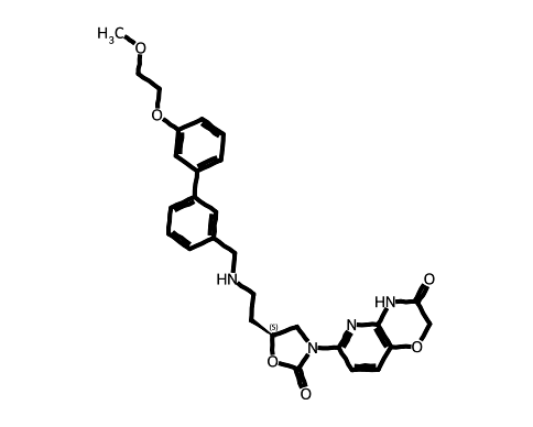 COCCOc1cccc(-c2cccc(CNCC[C@H]3CN(c4ccc5c(n4)NC(=O)CO5)C(=O)O3)c2)c1